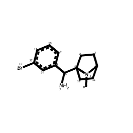 CN1C2CCC1(C(N)c1cccc(Br)c1)CC2